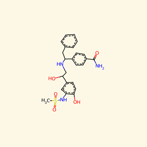 CS(=O)(=O)Nc1cc(C(O)CNC(Cc2ccccc2)c2ccc(C(N)=O)cc2)ccc1O